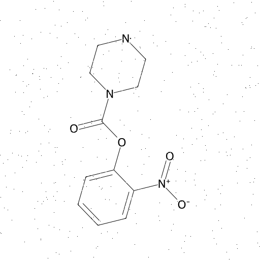 O=C(Oc1ccccc1[N+](=O)[O-])N1CC[N]CC1